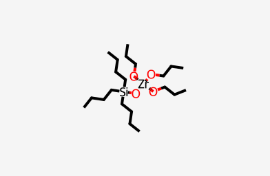 CCCC[Si](CCCC)(CCCC)[O][Zr]([O]CCC)([O]CCC)[O]CCC